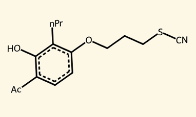 CCCc1c(OCCCSC#N)ccc(C(C)=O)c1O